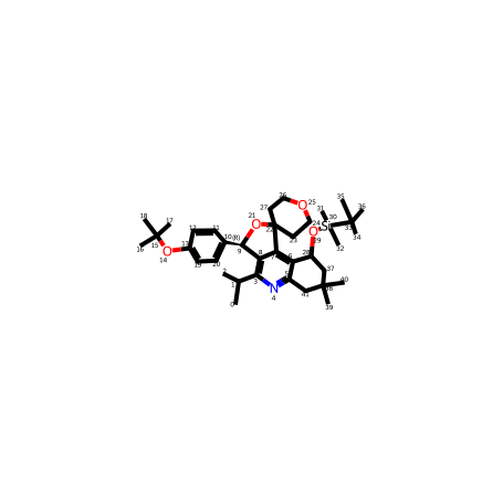 CC(C)c1nc2c(c3c1[C@@H](c1ccc(OC(C)(C)C)cc1)OC31CCOCC1)C(O[Si](C)(C)C(C)(C)C)CC(C)(C)C2